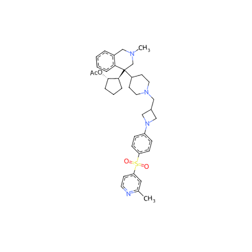 CC(=O)O[C@H]1CCC[C@@H]1C1(C2CCN(CC3CN(c4ccc(S(=O)(=O)c5ccnc(C)c5)cc4)C3)CC2)CN(C)Cc2ccccc21